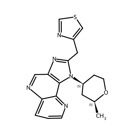 C[C@H]1C[C@@H](n2c(Cc3cscn3)nc3cnc4cccnc4c32)CCO1